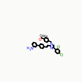 COC(=O)c1ccc(Cn2cc(-c3ccc(Cl)cc3Cl)nc2C=Cc2ccc(-c3cccc(N)c3)cc2)cc1